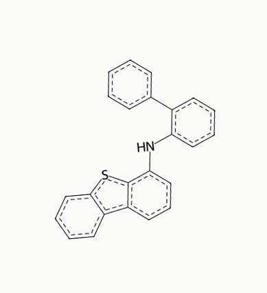 c1ccc(-c2ccccc2Nc2cccc3c2sc2ccccc23)cc1